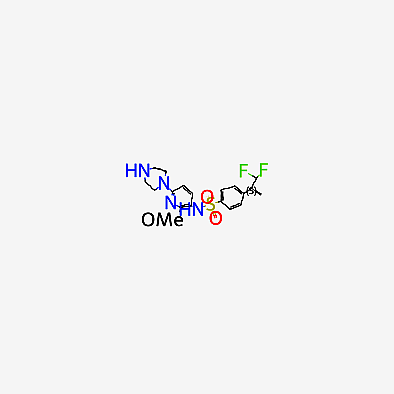 COc1nc(N2CCNCC2)ccc1NS(=O)(=O)c1ccc([C@H](C)C(F)F)cc1